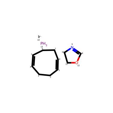 C1=CCCC=CCC1.C1=NCCO1.P.[Ir]